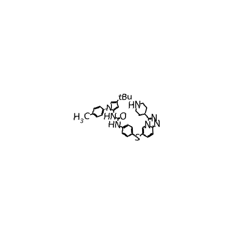 Cc1ccc(-n2cc(C(C)(C)C)cc2NC(=O)Nc2ccc(Sc3ccc4nnc(C5CCNCC5)n4c3)cc2)cc1